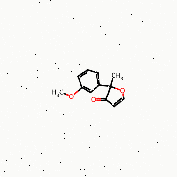 COc1cccc(C2(C)OC=CC2=O)c1